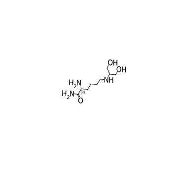 NC(=O)[C@H](N)CCCCNC(CO)CO